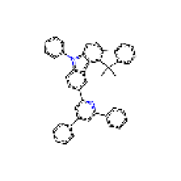 CC1(C)c2ccccc2-c2ccc3c(c21)c1cc(-c2cc(-c4ccccc4)cc(-c4ccccc4)n2)ccc1n3-c1ccccc1